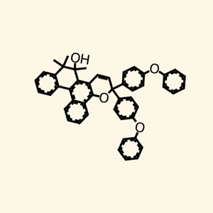 CC1(C)c2ccccc2-c2c(c3c(c4ccccc24)OC(c2ccc(Oc4ccccc4)cc2)(c2ccc(Oc4ccccc4)cc2)C=C3)C1(C)O